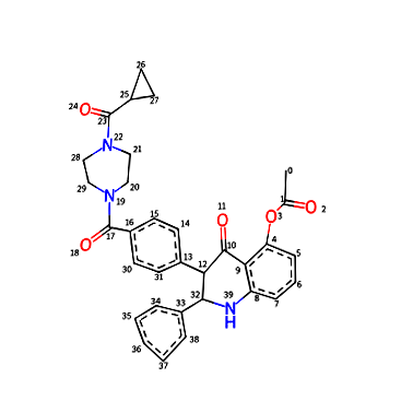 CC(=O)Oc1cccc2c1C(=O)C(c1ccc(C(=O)N3CCN(C(=O)C4CC4)CC3)cc1)C(c1ccccc1)N2